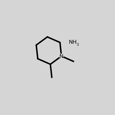 CC1CCCCN1C.N